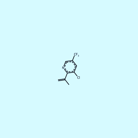 C=C(C)c1ncc(C(F)(F)F)cc1Cl